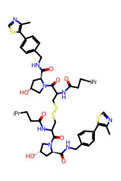 Cc1ncsc1-c1ccc(CNC(=O)[C@H]2C[C@H](O)CN2C(=O)C(CSSCC(NC(=O)CCC(C)C)C(=O)N2C[C@H](O)C[C@H]2C(=O)NCc2ccc(-c3scnc3C)cc2)NC(=O)CCC(C)C)cc1